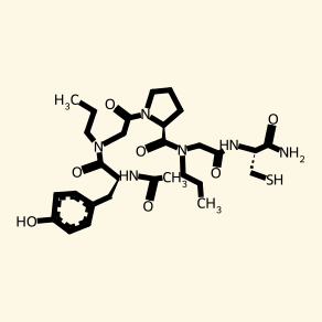 CCCN(CC(=O)N1CCC[C@H]1C(=O)N(CCC)CC(=O)N[C@@H](CS)C(N)=O)C(=O)[C@H](Cc1ccc(O)cc1)NC(C)=O